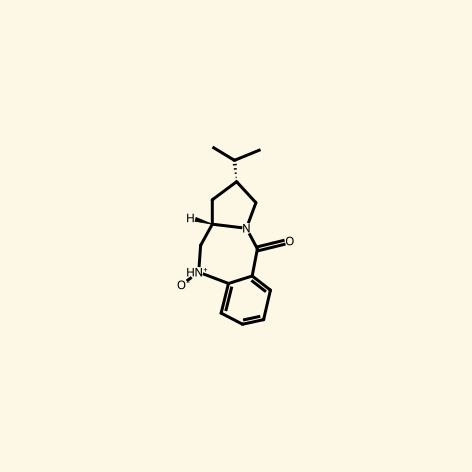 CC(C)[C@H]1C[C@H]2C[NH+]([O-])c3ccccc3C(=O)N2C1